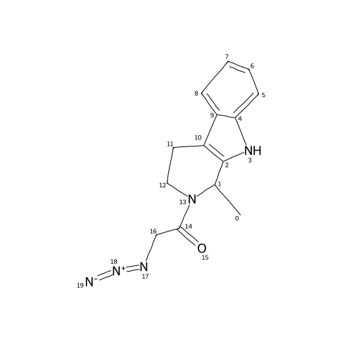 CC1c2[nH]c3ccccc3c2CCN1C(=O)CN=[N+]=[N-]